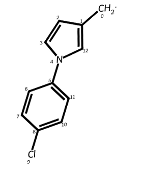 [CH2]c1ccn(-c2ccc(Cl)cc2)c1